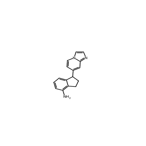 Nc1cccc2c1CCC2c1ccn2ccnc2c1